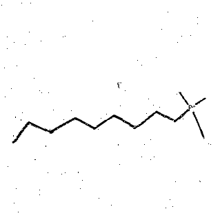 CCCCCCCCC[P+](C)(C)C.[I-]